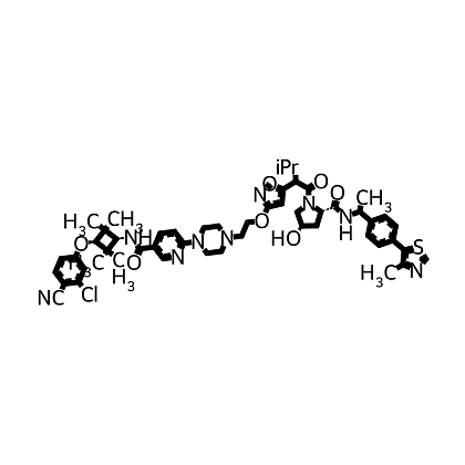 Cc1ncsc1-c1ccc(C(C)NC(=O)[C@@H]2C[C@@H](O)CN2C(=O)C(c2cc(OCCN3CCN(c4ccc(C(=O)N[C@H]5C(C)(C)[C@H](Oc6ccc(C#N)c(Cl)c6)C5(C)C)cn4)CC3)no2)C(C)C)cc1